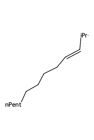 [CH2]CCCCCCCCC=C[C](C)C